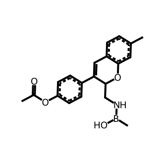 CB(O)NCC1Oc2cc(C)ccc2C=C1c1ccc(OC(C)=O)cc1